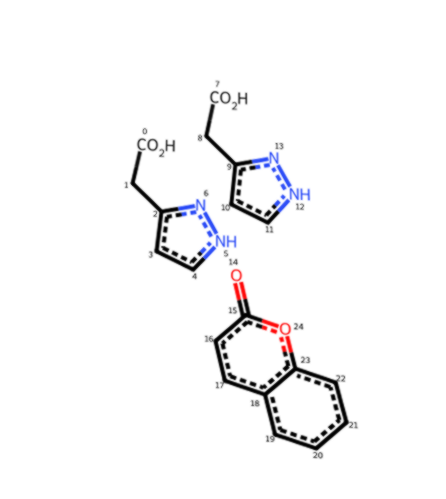 O=C(O)Cc1cc[nH]n1.O=C(O)Cc1cc[nH]n1.O=c1ccc2ccccc2o1